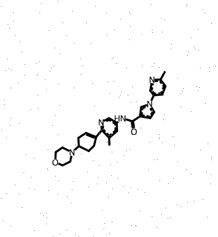 Cc1ccc(-n2ccc(C(=O)Nc3cnc(C4=CCC(N5CCOCC5)CC4)c(C)c3)c2)cn1